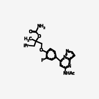 CC(=O)Nc1cc(-c2ccc(OCC(C)(CC(C)C)OC(N)=O)c(F)c2)n2nccc2n1